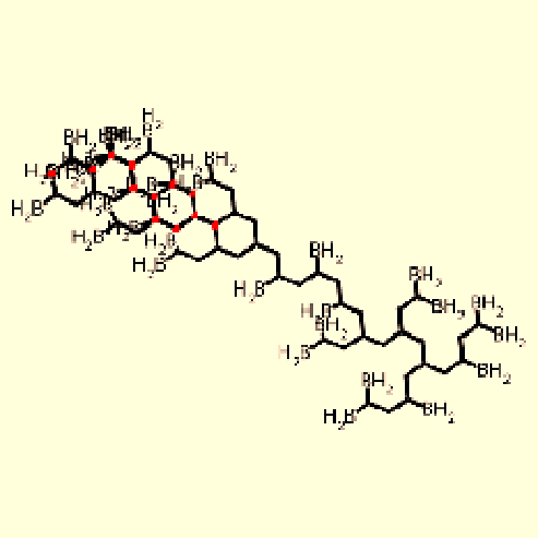 BC(B)CC(B)CC(CC(B)CC(B)B)CC(CC(B)B)CC(CC(B)B)CC(B)CC(B)CC(B)CC(CC(CC(B)B)CC(CC(B)B)CC(B)B)CC(CC(B)B)CC(CC(CC(B)CC(B)B)CC(B)CC(B)B)CC(CC(B)B)CC(CC(B)B)CC(CC(B)B)CC(B)B